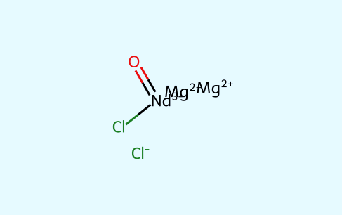 [Cl-].[Mg+2].[Mg+2].[O]=[Nd-3][Cl]